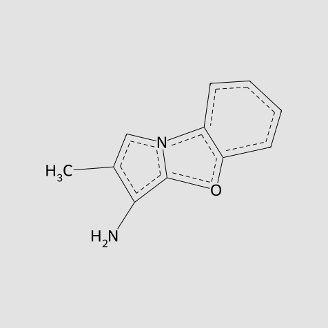 Cc1cn2c(oc3ccccc32)c1N